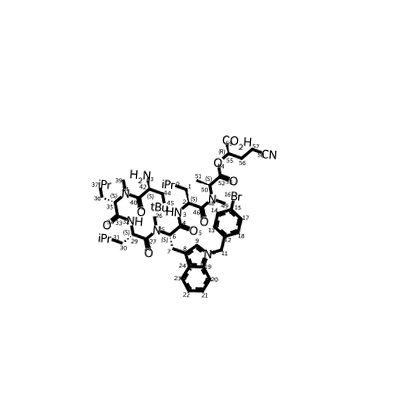 CC(C)C[C@H](NC(=O)[C@H](Cc1cn(Cc2ccc(Br)cc2)c2ccccc12)N(C)C(=O)[C@H](CC(C)C)NC(=O)[C@H](CC(C)C)N(C)C(=O)[C@@H](N)CC(C)(C)C)C(=O)N(C)[C@@H](C)C(=O)O[C@H](CCC#N)C(=O)O